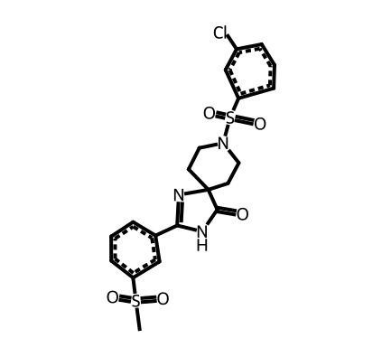 CS(=O)(=O)c1cccc(C2=NC3(CCN(S(=O)(=O)c4cccc(Cl)c4)CC3)C(=O)N2)c1